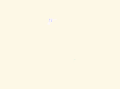 CC(=C1CCc2cc(F)ccc21)c1cccnc1